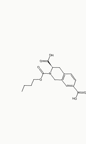 CCCCOC(=O)N1Cc2cc(C(=O)O)ccc2C[C@@H]1C(=O)O